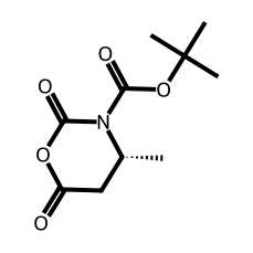 C[C@@H]1CC(=O)OC(=O)N1C(=O)OC(C)(C)C